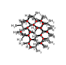 BB(B)B(B(B)B)B(B(B(B)B)B(B)B)B(B(B(B)B)B(B)B)B(B(B(B(B(B)B)B(B)B)B(B(B)B)B(B)B)B(B(B(B)B)B(B)B)B(B(B)B)B(B)B)B(B(B(B(B)B)B(B)B)B(B(B)B)B(B)B)B(B(B(B)B)B(B)B)B(B(B)B)B(B)B